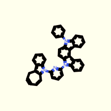 C1#CCc2c(n(-c3cccc(-n4c5ccccc5c5c6c7ccccc7n(-c7ccccc7)c6ccc54)n3)c3ccccc23)C=C1